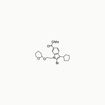 COC(=O)c1ccc2c(C3CCCCC3)c(Br)n(CCOC3CCCCO3)c2c1